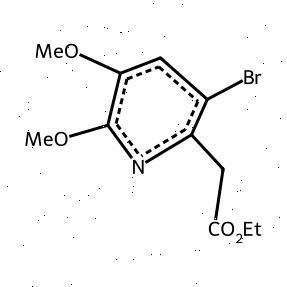 CCOC(=O)Cc1nc(OC)c(OC)cc1Br